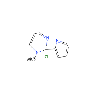 CSN1C=CC=NC1(Cl)c1ccccn1